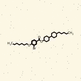 CCCCCCCOc1ccc(C(=O)OC2CCC(C3CCC(CCCCC)CC3)CC2)cc1Br